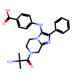 CC(C)(N)C(=O)N1CCn2c(nc(-c3ccccc3)c2Nc2ccc(C(=O)O)cc2)C1